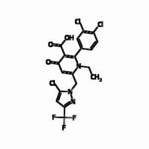 CCn1c(Cn2nc(C(F)(F)F)cc2Cl)cc(=O)c(C(=O)O)c1-c1ccc(Cl)c(Cl)c1